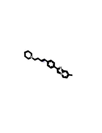 Cc1ccn2cc(-c3ccc(/C=C/CCN4CCCCC4)cc3)nc2c1